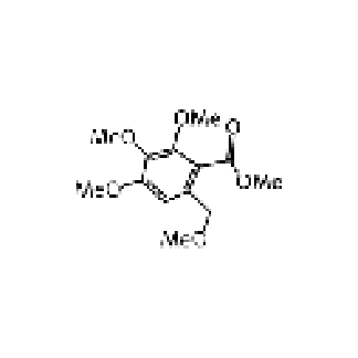 COCc1cc(OC)c(OC)c(OC)c1C(=O)OC